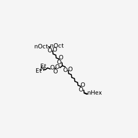 CCCCCC/C=C\COC(=O)CCCCCCCC(=O)OCC(COC(=O)CCCC(=O)OC(CCCCCCCC)CCCCCCCC)COC(=O)OCCCN(CC)CC